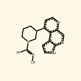 CC(C)C(=NC#N)N1CCCC(c2ccnc3cnc4[nH]ccc4c23)C1